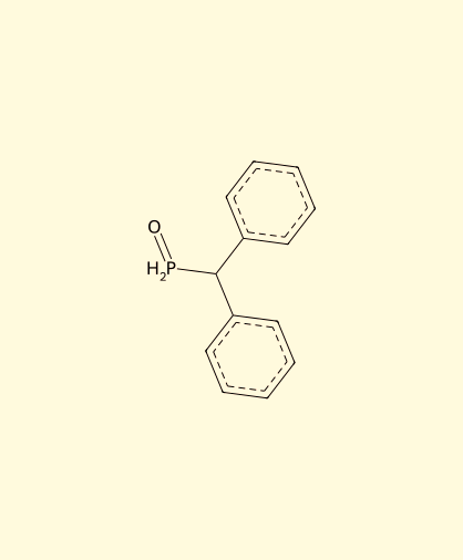 O=[PH2]C(c1ccccc1)c1ccccc1